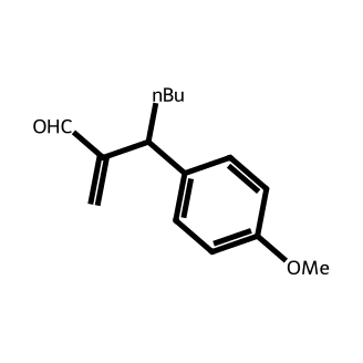 C=C(C=O)C(CCCC)c1ccc(OC)cc1